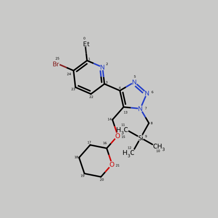 CCc1nc(-c2nnn(C[Si](C)(C)C)c2COC2CCCCO2)ccc1Br